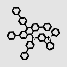 c1ccc(-c2ccc(-c3c4cc(-c5ccccc5)ccc4c(N(c4ccc(-c5ccccc5)cc4)c4ccc5c(c4)c4ccccc4n5-c4ccccc4)c4cc(-c5ccccc5)ccc34)cc2)cc1